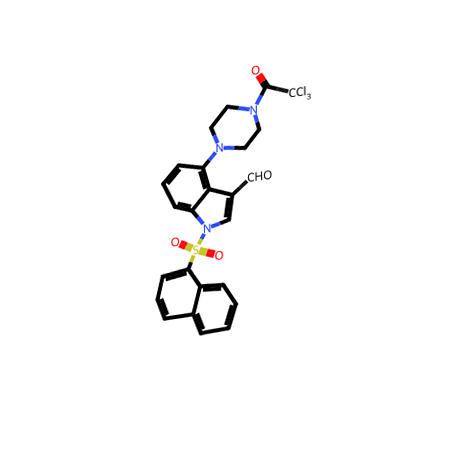 O=Cc1cn(S(=O)(=O)c2cccc3ccccc23)c2cccc(N3CCN(C(=O)C(Cl)(Cl)Cl)CC3)c12